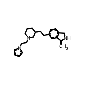 C=C1NCc2ccc(CCC3CCCN(CCn4cccc4)C3)cc21